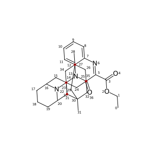 CCOC(=O)c1nc2ccccc2n(C2CC3CCCC(C2)N3C23CC4CC(C)(CC(C)(C4)C2)C3)c1=O